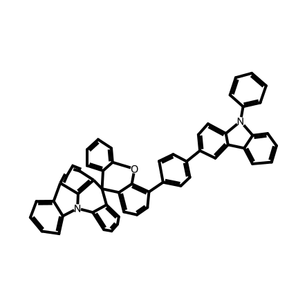 c1ccc(-n2c3ccccc3c3cc(-c4ccc(-c5cccc6c5Oc5ccccc5C65c6ccccc6-n6c7ccccc7c7cccc5c76)cc4)ccc32)cc1